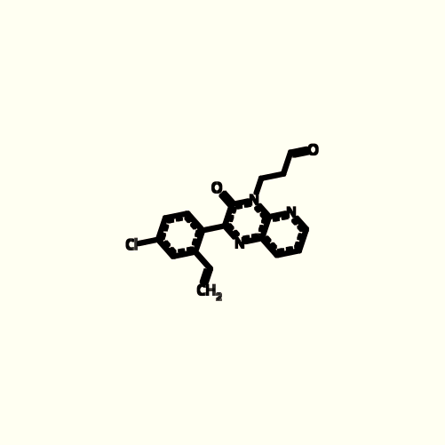 C=Cc1cc(Cl)ccc1-c1nc2cccnc2n(CCC=O)c1=O